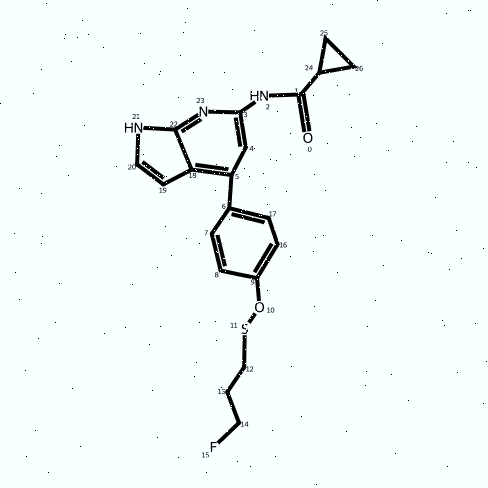 O=C(Nc1cc(-c2ccc(OSCCCF)cc2)c2cc[nH]c2n1)C1CC1